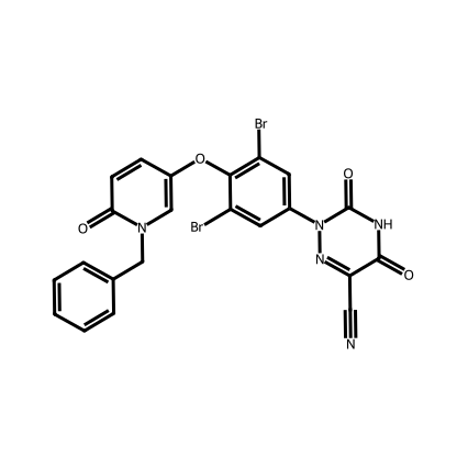 N#Cc1nn(-c2cc(Br)c(Oc3ccc(=O)n(Cc4ccccc4)c3)c(Br)c2)c(=O)[nH]c1=O